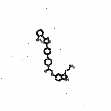 Cc1ccccc1-c1nnc(-c2ccc(N3CCN(C(=O)COc4ccc5[nH]cc(CCN)c5c4)CC3)cc2)o1